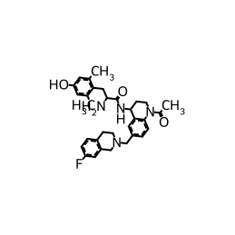 CC(=O)N1CCC(NC(=O)C(N)Cc2c(C)cc(O)cc2C)c2cc(CN3CCc4ccc(F)cc4C3)ccc21